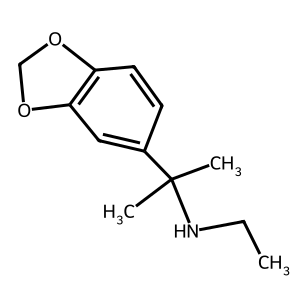 CCNC(C)(C)c1ccc2c(c1)OCO2